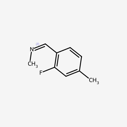 C/N=C\c1ccc(C)cc1F